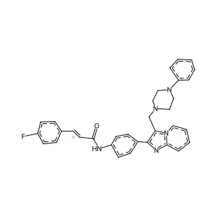 O=C(/C=C/c1ccc(F)cc1)Nc1ccc(-c2nc3ccccn3c2CN2CCN(c3ccccc3)CC2)cc1